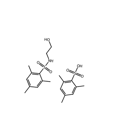 Cc1cc(C)c(S(=O)(=O)NCCO)c(C)c1.Cc1cc(C)c(S(=O)(=O)O)c(C)c1